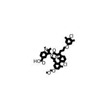 COCOc1cc(C)c(-c2c(Cl)ccc3c(CCCOc4cc(C)c(Cl)c(C)c4)c4n(c23)C(C)CN(c2c(C)n(C)c3ccc(C(=O)O)cc23)C4=O)c(C)c1